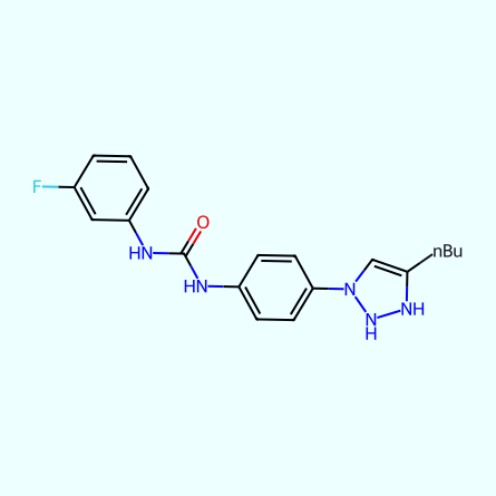 CCCCC1=CN(c2ccc(NC(=O)Nc3cccc(F)c3)cc2)NN1